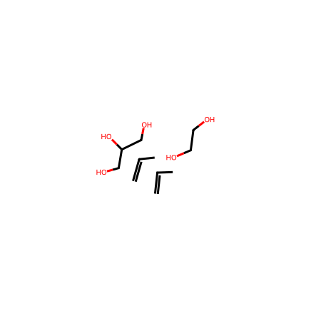 C=CC.C=CC.OCC(O)CO.OCCO